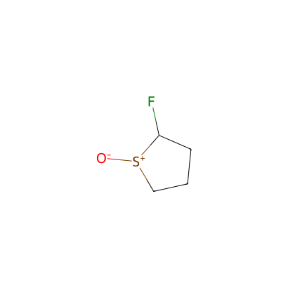 [O-][S+]1CCCC1F